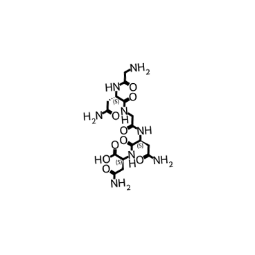 NCC(=O)N[C@@H](CC(N)=O)C(=O)NCC(=O)N[C@@H](CC(N)=O)C(=O)N[C@@H](CC(N)=O)C(=O)O